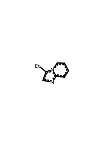 CCc1cnc2ccccn12